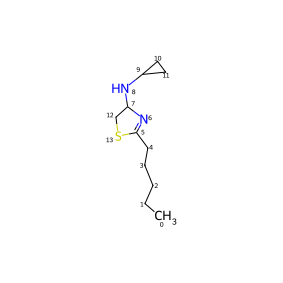 CCCCCC1=NC(NC2CC2)CS1